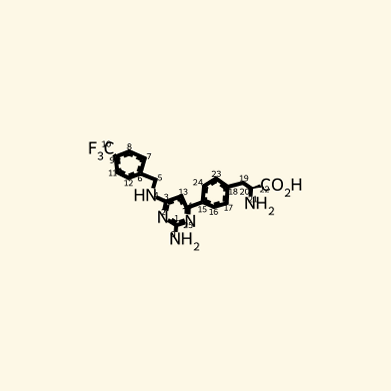 Nc1nc(NCc2ccc(C(F)(F)F)cc2)cc(-c2ccc(C[C@H](N)C(=O)O)cc2)n1